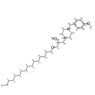 CCCCCCCCCCCCCCCCOCC(O)CN1CCN(Cc2ccc(OC)cc2)CC1